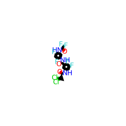 O=C(Nc1cc(NC(=O)C(F)F)c(F)cc1F)c1cc(NC(=O)[C@H]2CC2(Cl)Cl)cc(F)c1F